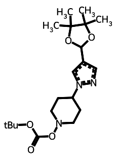 CC(C)(C)OC(=O)ON1CCC(n2cc(C3OC(C)(C)C(C)(C)O3)cn2)CC1